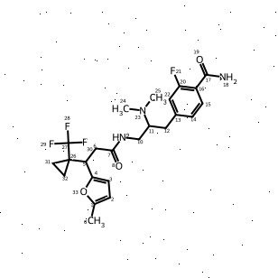 Cc1ccc(C(CC(=O)NCC(Cc2ccc(C(N)=O)c(F)c2)N(C)C)C2(C(F)(F)F)CC2)o1